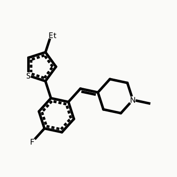 CCc1csc(-c2cc(F)ccc2C=C2CCN(C)CC2)c1